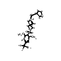 Cc1cc(C(F)(F)F)nc(C)c1S(=O)(=O)N1CC2(CN(CC3CCOC3)C2)C1